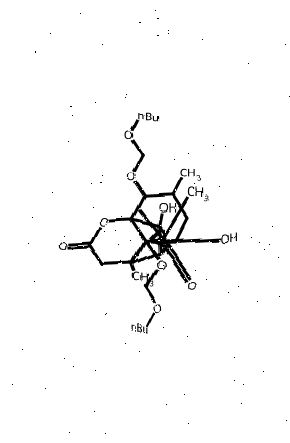 CCCCOCOC1C(C)CCC2(OCOCCCC)C3(C)CC(=O)OC12C1(O)C(C)=C(O)C(=O)C31